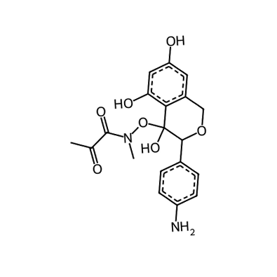 CC(=O)C(=O)N(C)OC1(O)c2c(O)cc(O)cc2COC1c1ccc(N)cc1